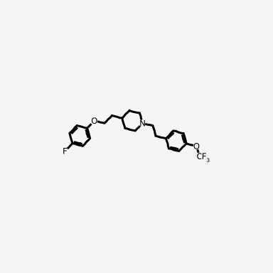 Fc1ccc(OCCC2CCN(CCc3ccc(OC(F)(F)F)cc3)CC2)cc1